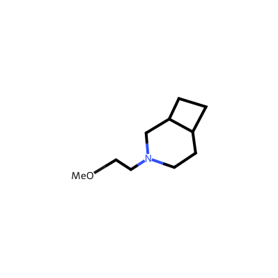 COCCN1CCC2CCC2C1